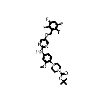 COc1cc(Nc2ncc(OCc3c(F)c(F)cc(F)c3F)cn2)ccc1N1CCN(C(=O)OC(C)(C)C)CC1